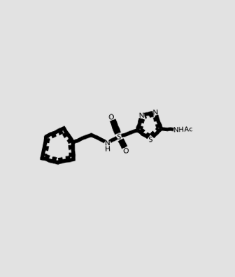 CC(=O)Nc1nnc(S(=O)(=O)NCc2ccccc2)s1